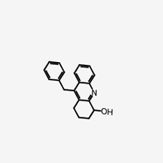 OC1CCCc2c1nc1ccccc1c2Cc1ccccc1